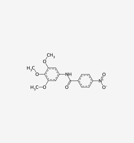 COc1cc(NC(=O)c2ccc([N+](=O)[O-])cc2)cc(OC)c1OC